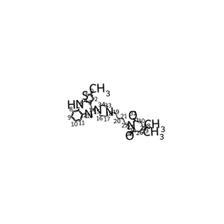 Cc1cc2c(s1)Nc1ccccc1N=C2N1CCN(CCCCN2C(=O)CC(C)(C)CC2=O)CC1